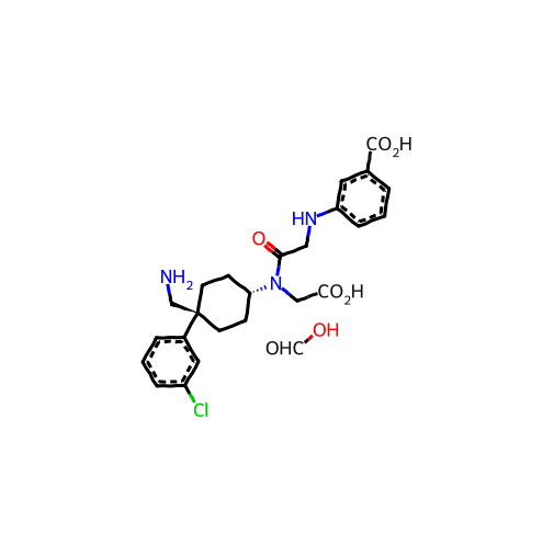 NC[C@]1(c2cccc(Cl)c2)CC[C@@H](N(CC(=O)O)C(=O)CNc2cccc(C(=O)O)c2)CC1.O=CO